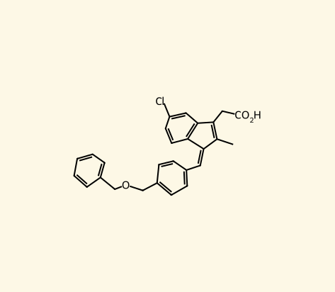 CC1=C(CC(=O)O)c2cc(Cl)ccc2/C1=C\c1ccc(COCc2ccccc2)cc1